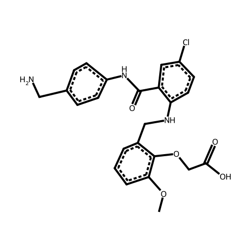 COc1cccc(CNc2ccc(Cl)cc2C(=O)Nc2ccc(CN)cc2)c1OCC(=O)O